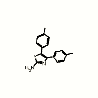 Cc1ccc(-c2nc(N)sc2-c2ccc(C)cc2)cc1